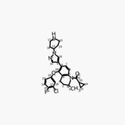 C[C@H]1CCc2c(ccc(-c3cnn(C4CCNCC4)c3)c2Oc2ccc(F)c(Cl)c2)N1C(=O)C1CC1